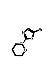 Brc1cnc([C@@H]2CCCCO2)s1